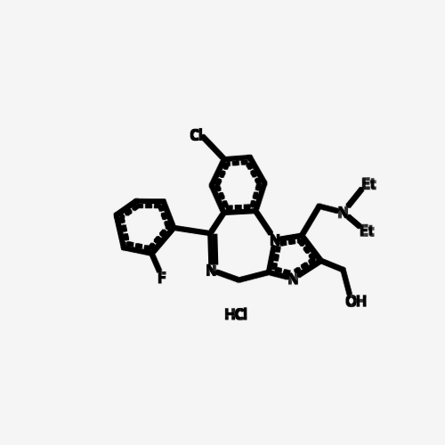 CCN(CC)Cc1c(CO)nc2n1-c1ccc(Cl)cc1C(c1ccccc1F)=NC2.Cl